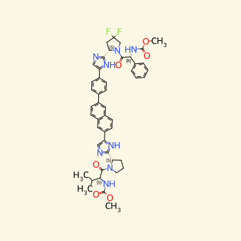 COC(=O)N[C@H](C(=O)N1CCC[C@H]1c1ncc(-c2ccc3cc(-c4ccc(-c5cnc([C@@H]6CC(F)(F)CN6C(=O)[C@H](NC(=O)OC)c6ccccc6)[nH]5)cc4)ccc3c2)[nH]1)C(C)C